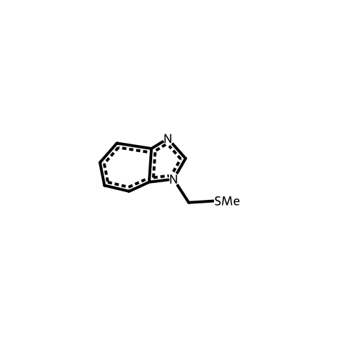 CSCn1cnc2ccccc21